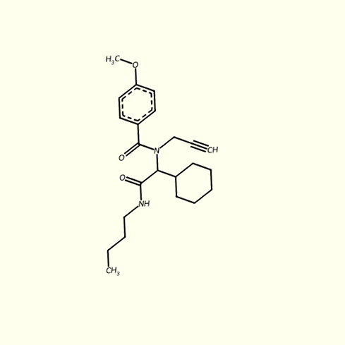 C#CCN(C(=O)c1ccc(OC)cc1)C(C(=O)NCCCC)C1CCCCC1